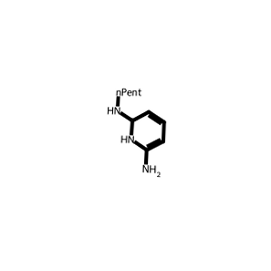 CCCCCN[C]1C=CC=C(N)N1